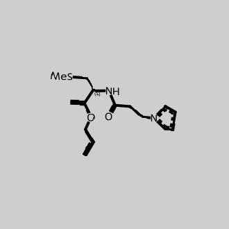 C=CCOC(=C)[C@@H](CSC)NC(=O)CCn1cccc1